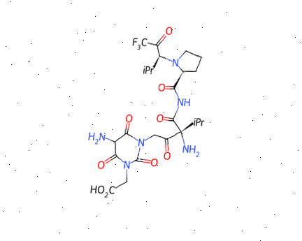 CC(C)[C@@H](C(=O)C(F)(F)F)N1CCC[C@H]1C(=O)NC(=O)[C@](N)(C(=O)CN1C(=O)C(N)C(=O)N(CC(=O)O)C1=O)C(C)C